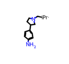 C[C](C)CN1CCC(c2ccc(N)cc2)C1